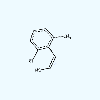 CCc1cccc(C)c1/C=C\S